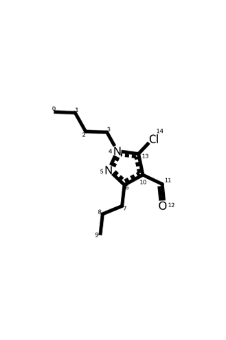 CCCCn1nc(CCC)c(C=O)c1Cl